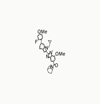 COc1ccc(-c2ccc3cc(-c4nc5cc(C(=O)N6CC7CCC6C7C)cc(OC)c5n4C)n(CC4CC4)c3c2)c(F)c1